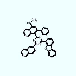 CNc1cc(-c2ccccc2)c(-c2nc(-c3ccc4ccccc4c3)nc(-c3cccc4c3oc3ccccc34)n2)c2ccccc12